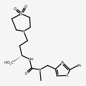 CC(C)c1nc(CN(C)C(=O)N[C@@H](CCN2CCS(=O)(=O)CC2)C(=O)O)cs1